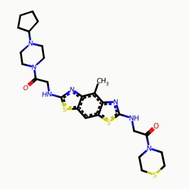 Cc1c2nc(NCC(=O)N3CCSCC3)sc2cc2sc(NCC(=O)N3CCN(C4CCCC4)CC3)nc12